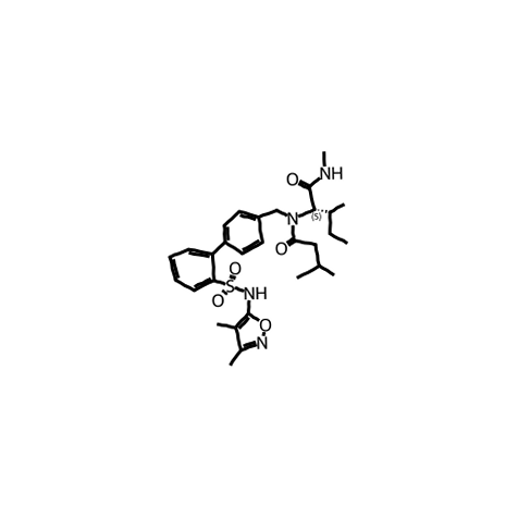 CCC(C)[C@@H](C(=O)NC)N(Cc1ccc(-c2ccccc2S(=O)(=O)Nc2onc(C)c2C)cc1)C(=O)CC(C)C